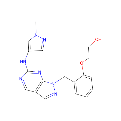 Cn1cc(Nc2ncc3cnn(Cc4ccccc4OCCO)c3n2)cn1